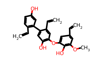 C=Cc1cc(OC)c(O)c(Oc2cc(C=C)c(-c3cc(O)ccc3C=C)cc2O)c1